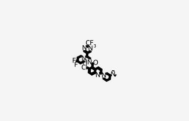 CN(C)C1CCCN(c2ccc3c(C(=O)NCC(c4cnc(C(F)(F)F)nc4)N4CCC(F)(F)CC4)c(Cl)ccc3n2)C1